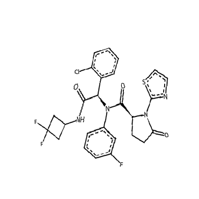 O=C(NC1CC(F)(F)C1)[C@@H](c1ccccc1Cl)N(C(=O)[C@@H]1CCC(=O)N1c1nccs1)c1cccc(F)c1